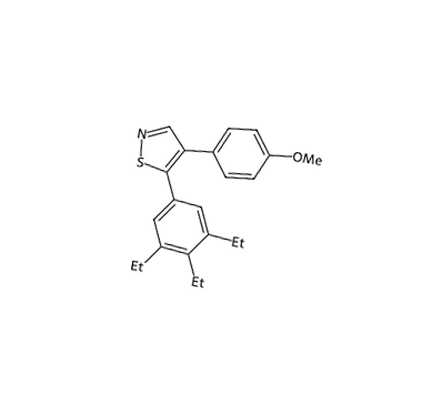 CCc1cc(-c2sncc2-c2ccc(OC)cc2)cc(CC)c1CC